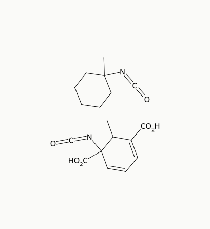 CC1(N=C=O)CCCCC1.CC1C(C(=O)O)=CC=CC1(N=C=O)C(=O)O